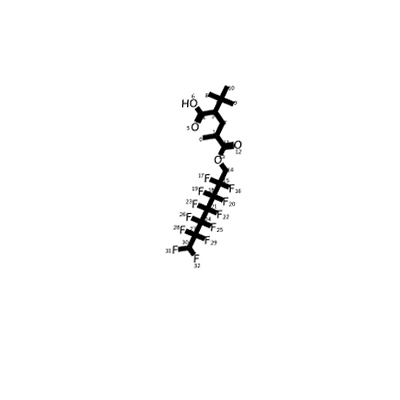 CC(CC(C(=O)O)C(C)(C)C)C(=O)OCC(F)(F)C(F)(F)C(F)(F)C(F)(F)C(F)(F)C(F)F